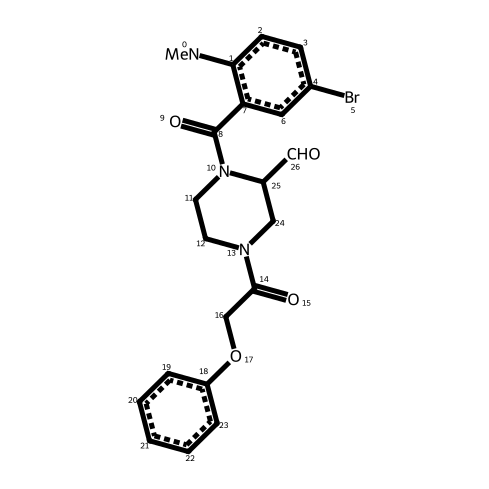 CNc1ccc(Br)cc1C(=O)N1CCN(C(=O)COc2ccccc2)CC1C=O